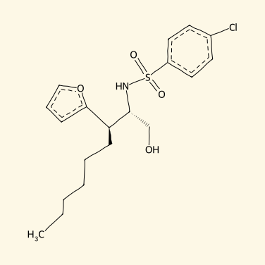 CCCCCC[C@@H](c1ccco1)[C@@H](CO)NS(=O)(=O)c1ccc(Cl)cc1